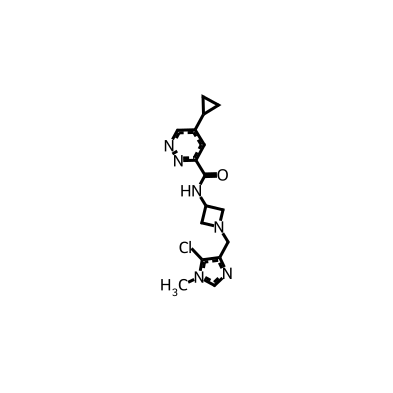 Cn1cnc(CN2CC(NC(=O)c3cc(C4CC4)cnn3)C2)c1Cl